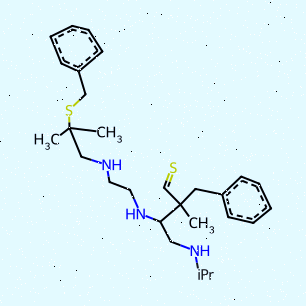 CC(C)NCC(NCCNCC(C)(C)SCc1ccccc1)C(C)(C=S)Cc1ccccc1